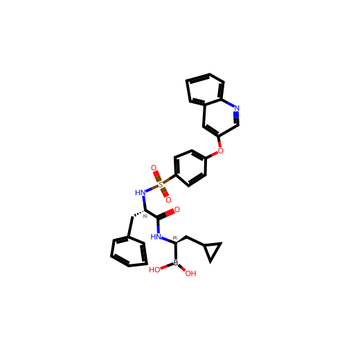 O=C(N[C@@H](CC1CC1)B(O)O)[C@H](Cc1ccccc1)NS(=O)(=O)c1ccc(Oc2cnc3ccccc3c2)cc1